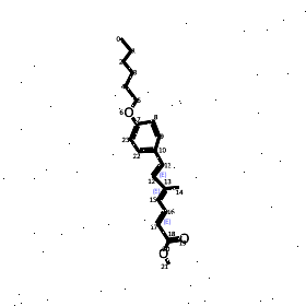 CCCCCCOc1ccc(/C=C/C(C)=C/C=C/C(=O)OC)cc1